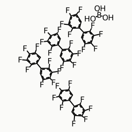 Fc1cc(-c2cc(F)c(F)c(F)c2F)c(F)c(F)c1F.Fc1cc(-c2cc(F)c(F)c(F)c2F)c(F)c(F)c1F.Fc1cc(-c2cc(F)c(F)c(F)c2F)c(F)c(F)c1F.Fc1cc(-c2cc(F)c(F)c(F)c2F)c(F)c(F)c1F.OB(O)O